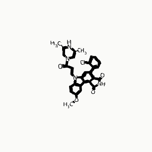 COc1ccc2c(c1)c1c3c(c(-c4ccccc4Cl)cc1n2CCC(=O)N1C[C@@H](C)N[C@@H](C)C1)C(=O)NC3=O